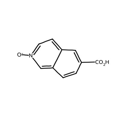 O=C(O)c1ccc2c[n+]([O-])ccc2c1